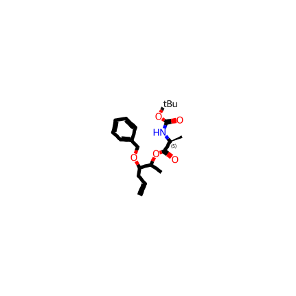 C=CCC(OCc1ccccc1)C(C)OC(=O)[C@H](C)NC(=O)OC(C)(C)C